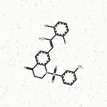 C/C(=C\c1ccc2c(c1)N(S(=O)(=O)c1cccc(C(F)(F)F)c1)CCC2=O)c1c(F)cccc1Cl